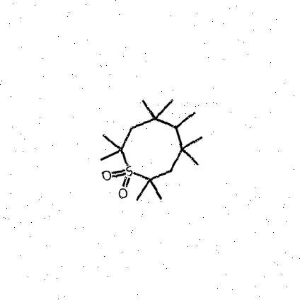 CC1C(C)(C)CC(C)(C)S(=O)(=O)C(C)(C)CC1(C)C